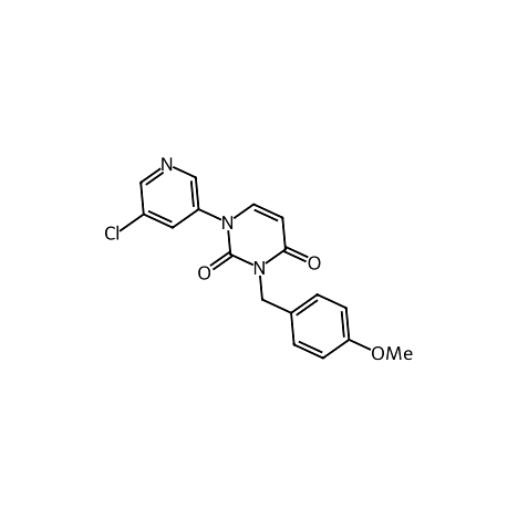 COc1ccc(Cn2c(=O)ccn(-c3cncc(Cl)c3)c2=O)cc1